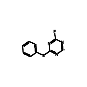 Fc1n[c]nc(Sc2ccccc2)n1